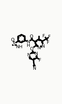 Cc1c(C(F)(F)F)nnc(Oc2ncc(C#N)c(F)n2)c1C(=O)Nc1cccc(S(C)(=N)=O)c1